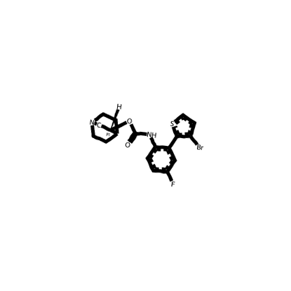 O=C(Nc1ccc(F)cc1-c1sccc1Br)O[C@H]1CN2CCC1CC2